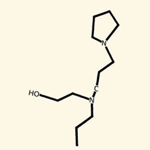 CCCN(CCO)CCCN1CCCC1